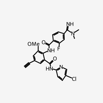 C#Cc1cc(OC)c(NC(=O)c2ccc(C(=N)N(C)C)cc2F)c(C(=O)Nc2ccc(Cl)cn2)c1